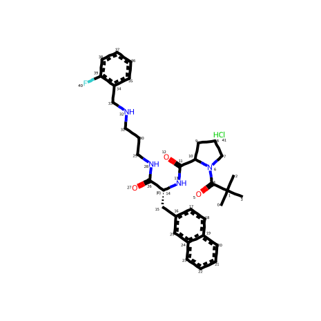 CC(C)(C)C(=O)N1CCCC1C(=O)N[C@H](Cc1ccc2ccccc2c1)C(=O)NCCCNCc1ccccc1F.Cl